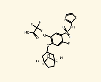 O=C(O)C(F)(F)F.O=S(=O)(Nc1nccs1)c1cc(Cl)c(OC2C[C@H]3CC[C@@H](C2)N3)cc1F